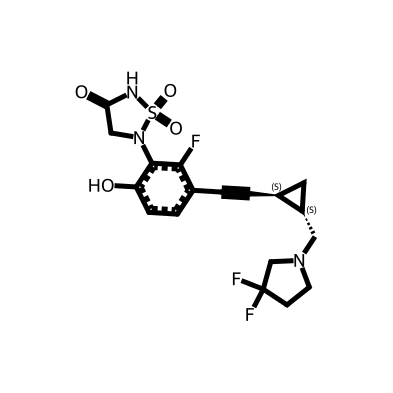 O=C1CN(c2c(O)ccc(C#C[C@H]3C[C@@H]3CN3CCC(F)(F)C3)c2F)S(=O)(=O)N1